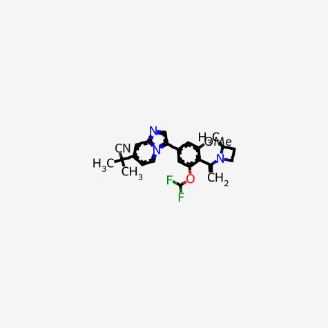 C=C(c1c(OC)cc(-c2cnc3cc(C(C)(C)C#N)ccn23)cc1OC(F)F)N1CCC1C